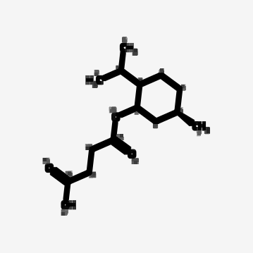 CC(C)C1CC[C@@H](C)CC1OC(=O)CCC(=O)O